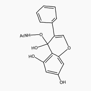 CC(=O)NOC1(O)C(c2ccccc2)=COc2cc(O)cc(O)c21